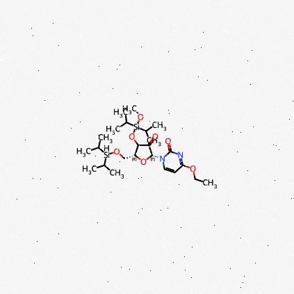 CCOc1ccn([C@@H]2O[C@H](CO[SiH](C(C)C)C(C)C)C(O[Si](OC)(C(C)C)C(C)C)C2=O)c(=O)n1